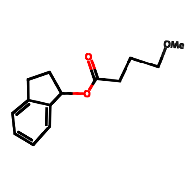 COCCCC(=O)OC1CCc2ccccc21